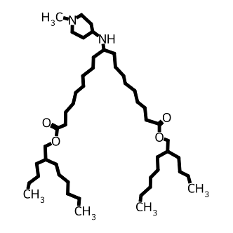 CCCCCCC(CCCC)COC(=O)CCCCCCCCC(CCCCCCCCC(=O)OCC(CCCC)CCCCCC)NC1CCN(C)CC1